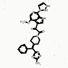 COc1cnc(N2C=CNN2)c2[nH]cc(C(=O)C(=O)N3CCC(=C(c4ccccc4)c4nnc(C)o4)CC3)c12